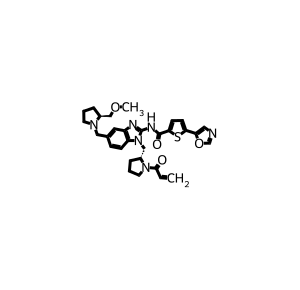 C=CC(=O)N1CCC[C@@H]1Cn1c(NC(=O)c2ccc(-c3cnco3)s2)nc2cc(CN3CCC[C@H]3COC)ccc21